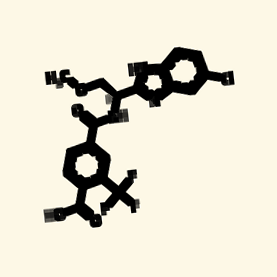 COC[C@H](NC(=O)c1ccc(C(=O)O)c(C(F)(F)F)c1)c1nc2cc(Cl)ccc2[nH]1